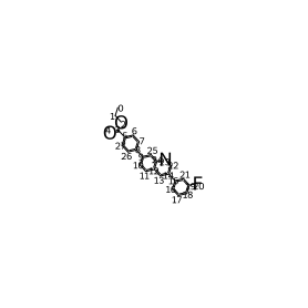 CCOC(=O)c1ccc(-c2ccc3cc(-c4cccc(F)c4)cnc3c2)cc1